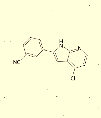 N#Cc1cccc(-c2cc3c(Cl)ccnc3[nH]2)c1